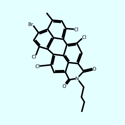 CCCCN1C(=O)c2cc(Cl)c3c4c(Cl)cc(C)c5c(Br)cc(Cl)c(c6c(Cl)cc(c2c36)C1=O)c54